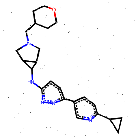 c1cc(C2CC2)ncc1-c1ccc(NC2C3CN(CC4CCOCC4)CC32)nn1